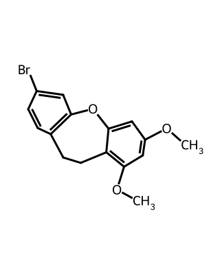 COc1cc(OC)c2c(c1)Oc1cc(Br)ccc1CC2